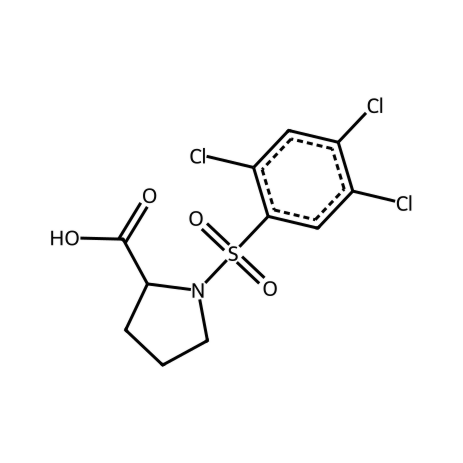 O=C(O)C1CCCN1S(=O)(=O)c1cc(Cl)c(Cl)cc1Cl